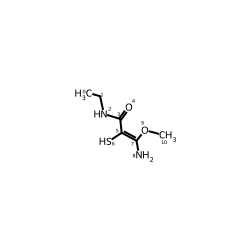 CCNC(=O)/C(S)=C(/N)OC